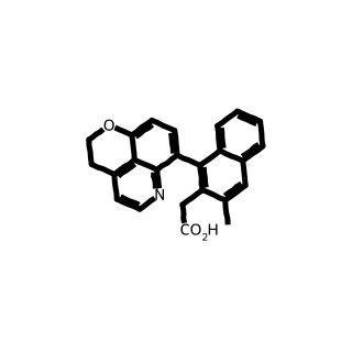 Cc1cc2ccccc2c(-c2ccc3c4c(ccnc24)CCO3)c1CC(=O)O